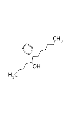 CCCCCCCC(O)CCCC.c1ccccc1